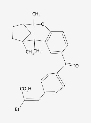 CCC(=Cc1ccc(C(=O)c2ccc3c(c2)C2(C)C4(C)CCC(C4)C2(C)O3)cc1)C(=O)O